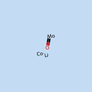 [Co].[Li].[O]=[Mo]